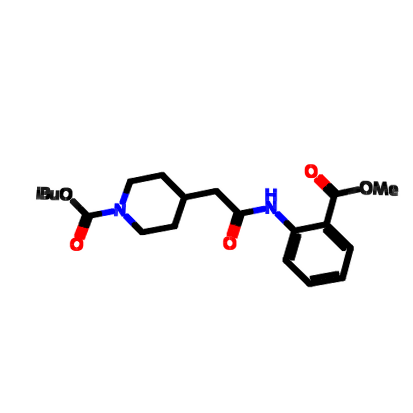 COC(=O)c1ccccc1NC(=O)CC1CCN(C(=O)OCC(C)C)CC1